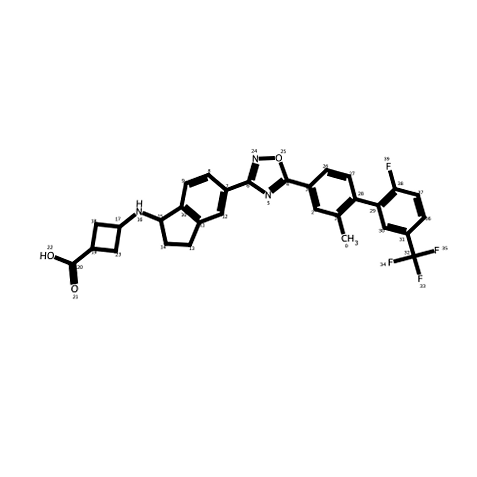 Cc1cc(-c2nc(-c3ccc4c(c3)CCC4NC3CC(C(=O)O)C3)no2)ccc1-c1cc(C(F)(F)F)ccc1F